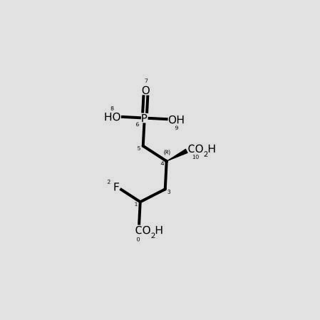 O=C(O)C(F)C[C@@H](CP(=O)(O)O)C(=O)O